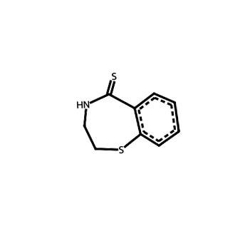 S=C1NCCSc2ccccc21